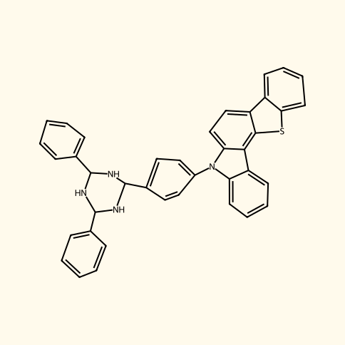 c1ccc(C2NC(c3ccccc3)NC(c3ccc(-n4c5ccccc5c5c6sc7ccccc7c6ccc54)cc3)N2)cc1